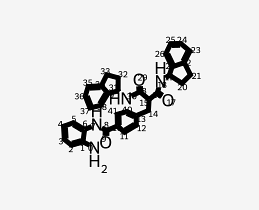 Nc1ccccc1NC(=O)c1ccc(CC(C(=O)NC2CCc3ccccc32)C(=O)NC2CCc3ccccc32)cc1